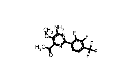 COc1c(N)nc(-c2ccc(C(F)(F)F)c(F)c2F)nc1C(C)=O